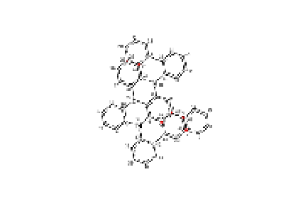 c1ccc(-c2cc3c4c(c2)N(c2ccccc2-c2ccccc2)c2ccccc2B4c2ccccc2N3c2ccccc2-c2ccccc2)cc1